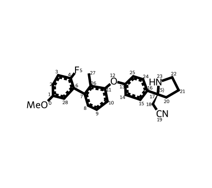 COc1ccc(F)c(-c2cccc(Oc3ccc([C@@]4(CC#N)CCCN4)cc3)c2C)c1